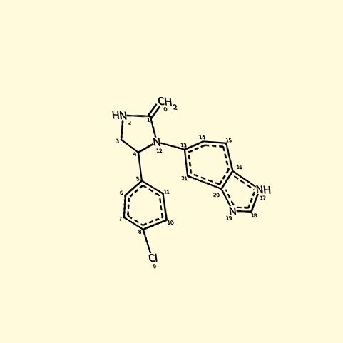 C=C1NCC(c2ccc(Cl)cc2)N1c1ccc2[nH]cnc2c1